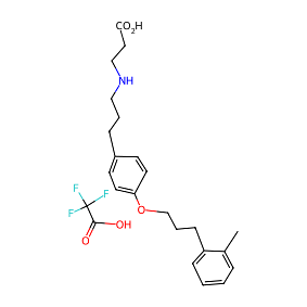 Cc1ccccc1CCCOc1ccc(CCCNCCC(=O)O)cc1.O=C(O)C(F)(F)F